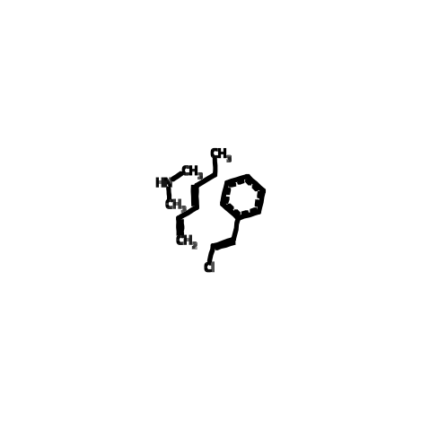 C=CC=CCC.CNC.ClC=Cc1ccccc1